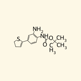 CC(C)(C)OC(=O)Nc1ccc(C2=CCCS2)cc1N